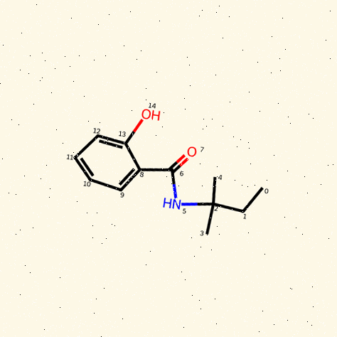 CCC(C)(C)NC(=O)c1ccccc1O